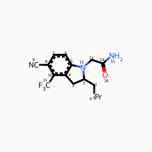 CC(C)CC1Cc2c(ccc(C#N)c2C(F)(F)F)N1CC(N)=O